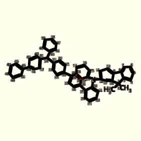 CC1(C)c2ccccc2-c2ccc(N(c3ccccc3)c3ccccc3-c3ccc(-c4ccc(C(c5ccccc5)c5ccc(-c6ccccc6)cc5)cc4)cc3)cc21